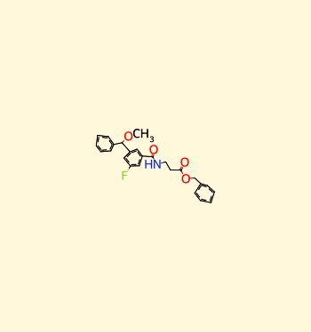 COC(c1ccccc1)c1cc(F)cc(C(=O)NCCC(=O)OCc2ccccc2)c1